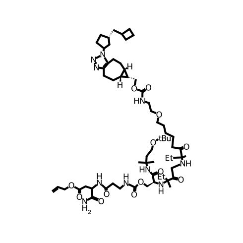 C=CCOC(=O)CC(NC(=O)CCNC(=O)OC[C@H](NC(C)(CC)C(=O)CNC(C)(CC)C(=O)CCCCCOCCNC(=O)OC[C@@H]1[C@@H]2CCc3nnn(C4CC[C@H](CC5CCC5)C4)c3CC[C@@H]21)C(=O)NC(C)(C)CCOC(C)(C)C)C(N)=O